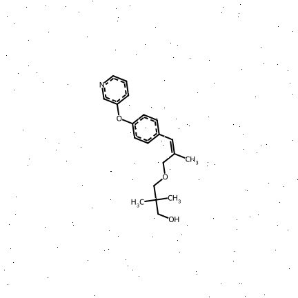 CC(=Cc1ccc(Oc2cccnc2)cc1)COCC(C)(C)CO